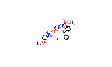 COC(=O)[C@H](Cc1ccc(OCc2nc3ccc(OC)cc3n2C)cc1)Nc1ccccc1C(=O)c1ccccc1